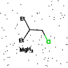 CCC(CC)CCl.[MgH2]